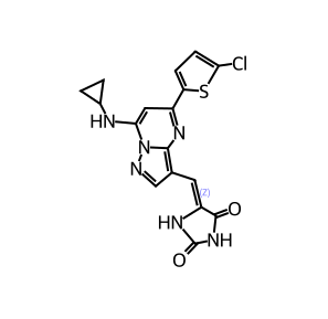 O=C1NC(=O)/C(=C/c2cnn3c(NC4CC4)cc(-c4ccc(Cl)s4)nc23)N1